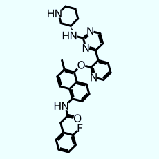 Cc1ccc2c(NC(=O)Cc3ccccc3F)cccc2c1Oc1ncccc1-c1ccnc(N[C@H]2CCCNC2)n1